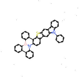 c1ccc(-n2c3ccccc3c3cc4sc5c6c(ccc5c4cc32)N2B(c3ccccc3-c3ccccc32)c2ccccc2-6)cc1